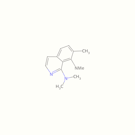 CNc1c(C)ccc2ccnc(N(C)C)c12